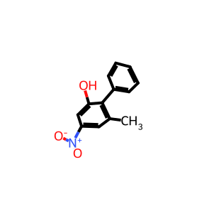 Cc1cc([N+](=O)[O-])cc(O)c1-c1ccccc1